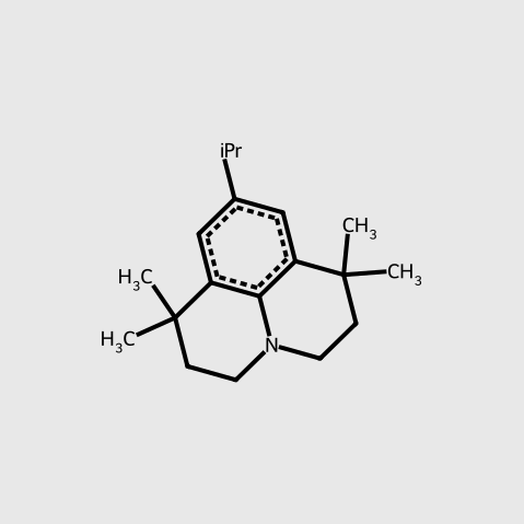 CC(C)c1cc2c3c(c1)C(C)(C)CCN3CCC2(C)C